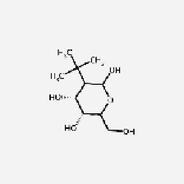 CC(C)(C)C1C(O)OC(CO)[C@H](O)[C@@H]1O